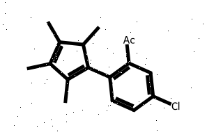 CC(=O)c1cc(Cl)ccc1C1=C(C)C(C)=C(C)C1C